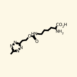 Cc1nnc(CCOC(=O)NCCCCC(N)C(=O)O)nn1